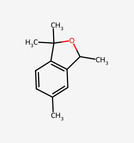 Cc1ccc2c(c1)C(C)OC2(C)C